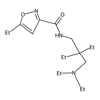 CCc1cc(C(=O)NCC(CC)(CC)CN(CC)CC)no1